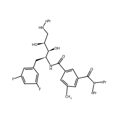 CCCNC[C@H](O)[C@@H](O)[C@H](Cc1cc(F)cc(F)c1)NC(=O)c1cc(C)cc(C(=O)N(CCC)CCC)c1